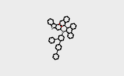 c1ccc(-c2ccc(-c3ccc(N(c4ccc5c(c4)sc4ccccc45)c4c(-c5cccc6ccccc56)c5ccccc5c5ccccc45)cc3-c3ccccc3)cc2)cc1